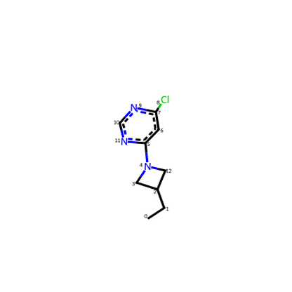 CCC1CN(c2cc(Cl)ncn2)C1